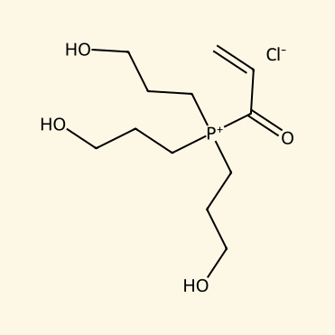 C=CC(=O)[P+](CCCO)(CCCO)CCCO.[Cl-]